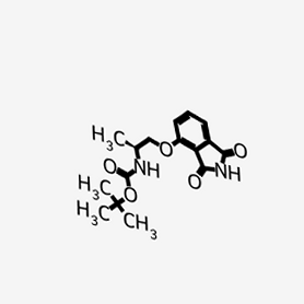 C[C@@H](COc1cccc2c1C(=O)NC2=O)NC(=O)OC(C)(C)C